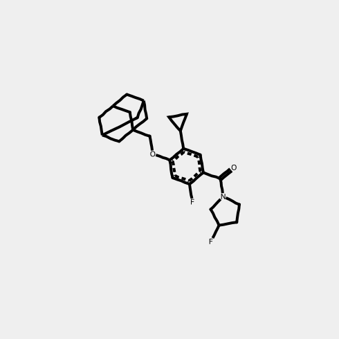 O=C(c1cc(C2CC2)c(OCC23CC4CC(CC(C4)C2)C3)cc1F)N1CCC(F)C1